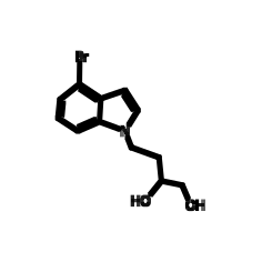 OCC(O)CCn1ccc2c(Br)cccc21